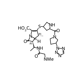 CNCC(=O)NC(C)[C@H]1C(=O)N2C(C(=O)O)=C(SC3CNC(C(=O)N4CCC(n5ncnn5)C4)C3)[C@H](C)[C@@H]12